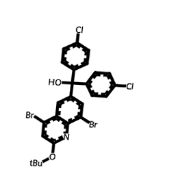 CC(C)(C)Oc1cc(Br)c2cc(C(O)(c3ccc(Cl)cc3)c3ccc(Cl)cc3)cc(Br)c2n1